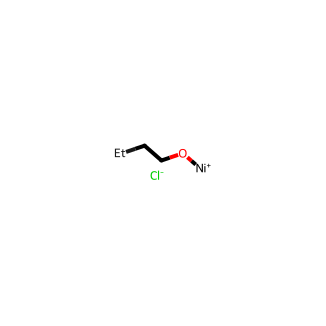 CCCC[O][Ni+].[Cl-]